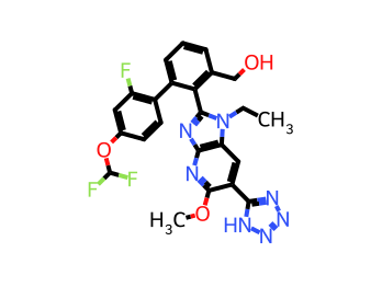 CCn1c(-c2c(CO)cccc2-c2ccc(OC(F)F)cc2F)nc2nc(OC)c(-c3nnn[nH]3)cc21